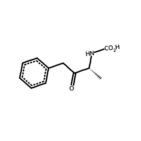 C[C@@H](NC(=O)O)C(=O)Cc1ccccc1